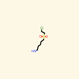 [NH]CCCCCS(=O)(=O)CCCl